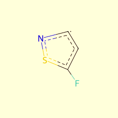 Fc1c[c]ns1